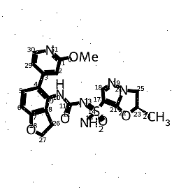 COc1cc(-c2ccc3c(c2NC(=O)N=S(N)(=O)c2cnn4c2O[C@H](C)C4)CCO3)ccn1